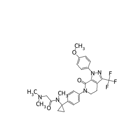 COc1ccc(-n2nc(C(F)(F)F)c3c2C(=O)N(c2ccc(C4(N(C)C(=O)CN(C)C)CC4)cc2)CC3)cc1